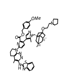 COc1ccc(COC(=O)c2nc(N3CCCc4c3nnc(Nc3nc5ccccc5s3)c4C)ccc2-c2cnn(C[C@]34C[C@]5(C)C[C@](C)(C3)C[C@@](OCCN3CCCC3)(C5)C4)c2C)cc1